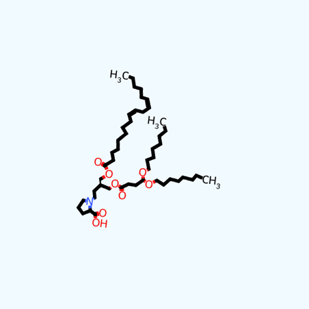 CCCCC/C=C\C/C=C\CCCCCCCC(=O)OC[C@H](CCN1CCCC1C(=O)O)COC(=O)CCC(OCCCCCCCC)OCCCCCCCC